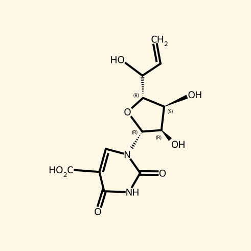 C=CC(O)[C@H]1O[C@@H](n2cc(C(=O)O)c(=O)[nH]c2=O)[C@H](O)[C@@H]1O